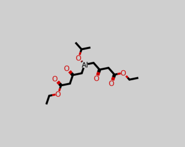 CCOC(=O)CC(=O)[CH2][Al]([CH2]C(=O)CC(=O)OCC)[O]C(C)C